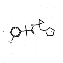 CC(C)(C(=O)NC1(CN2CCCC2)CC1)c1cccc(C(F)(F)F)c1